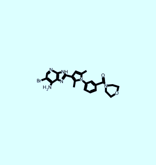 Cc1cc(-c2nc3c(N)c(Br)cnc3[nH]2)c(C)n1-c1cccc(C(=O)N2CCOCC2)c1